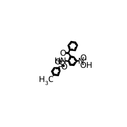 Cc1ccc(S(=O)(=O)Nc2ccc([N+](=O)O)cc2C(=O)c2ccccc2)cc1